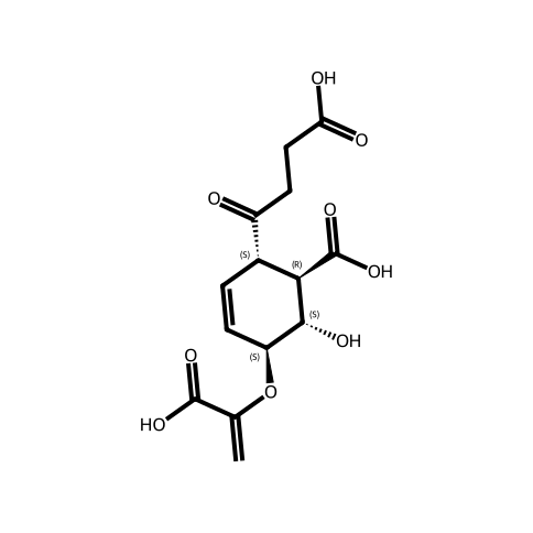 C=C(O[C@H]1C=C[C@H](C(=O)CCC(=O)O)[C@@H](C(=O)O)[C@@H]1O)C(=O)O